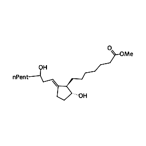 CCCCCC(O)CC=C1CC[C@@H](O)[C@@H]1CCCCCCC(=O)OC